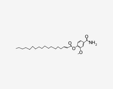 CCCCCCCCCCCCCCC/C=C/C(=O)Oc1ccc(C(N)=O)cc1OC